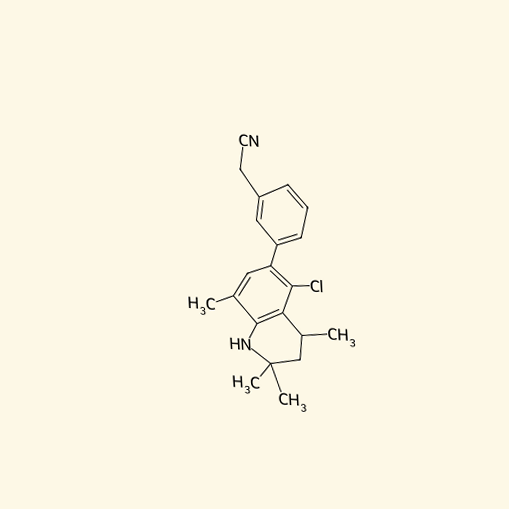 Cc1cc(-c2cccc(CC#N)c2)c(Cl)c2c1NC(C)(C)CC2C